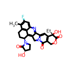 CC[C@@]1(O)C(=O)OCc2c1cc1n(c2=O)Cc2c-1nc1cc(F)c(C)c3c1c2[C@@H](N1CC[C@H](O)C1=O)CC3